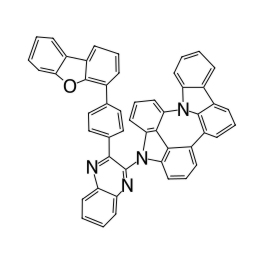 c1ccc2nc(-n3c4cccc5c6cccc7c8ccccc8n(c8cccc3c8c54)c67)c(-c3ccc(-c4cccc5c4oc4ccccc45)cc3)nc2c1